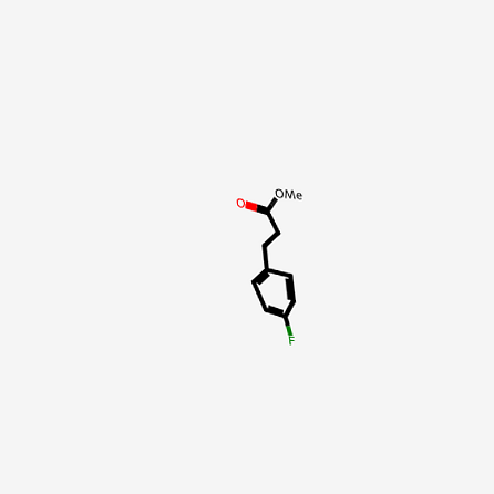 COC(=O)CCc1ccc(F)cc1